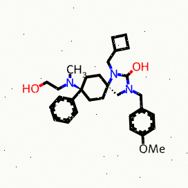 COc1ccc(CN2C[C@]3(CC[C@](c4ccccc4)(N(C)CCO)CC3)N(CC3CCC3)C2O)cc1